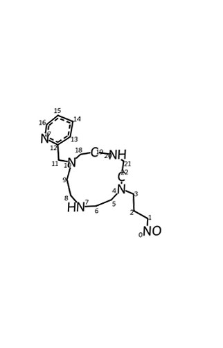 O=NCCCN1CCNCCN(Cc2ccccn2)CCNCC1